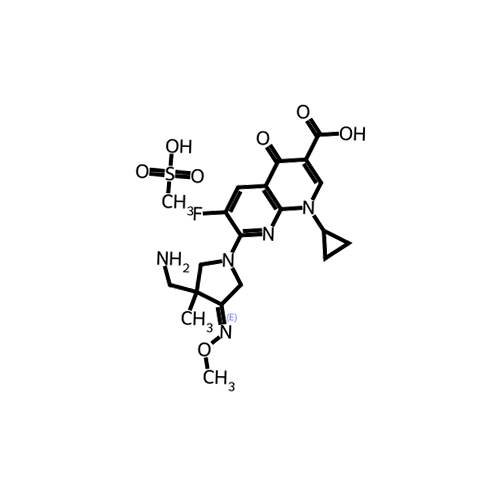 CO/N=C1/CN(c2nc3c(cc2F)c(=O)c(C(=O)O)cn3C2CC2)CC1(C)CN.CS(=O)(=O)O